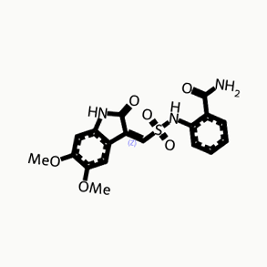 COc1cc2c(cc1OC)/C(=C/S(=O)(=O)Nc1ccccc1C(N)=O)C(=O)N2